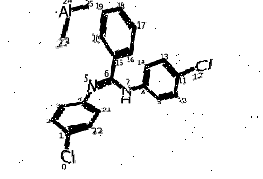 Clc1ccc(N=C(Nc2ccc(Cl)cc2)c2ccccc2)cc1.[CH3][Al][CH3]